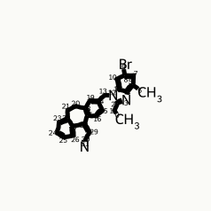 CCc1nc2c(C)cc(Br)cc2n1Cc1ccc2c(c1)CCc1ccccc1/C2=C\C#N